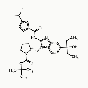 CCC(O)(CC)c1ccc2c(c1)nc(NC(=O)c1ccc(C(F)F)s1)n2C[C@H]1CCCN1C(=O)OC(C)(C)C